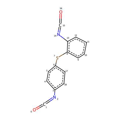 O=C=Nc1ccc(Sc2ccccc2N=C=O)cc1